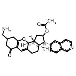 CC(=O)OC1C[C@H]2[C@@H]3OC4=C(C=C3CC[C@]2(C)[C@H]1c1ccc2cnccc2c1)C(=O)CC(CN)C4